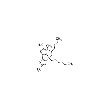 CCCCCCC1(CC(CC)CCCC)c2cc(C)sc2-c2sc(C)cc21